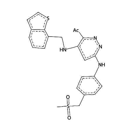 CC(=O)c1nnc(Nc2ccc(CS(C)(=O)=O)cc2)cc1NCc1cccc2ccsc12